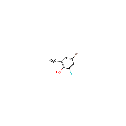 O=C(O)c1cc(Br)cc(F)c1O